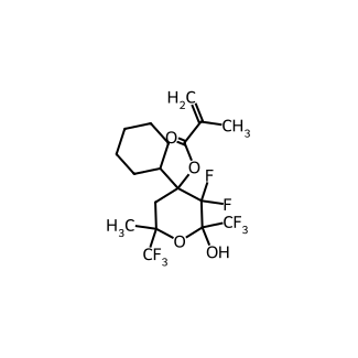 C=C(C)C(=O)OC1(C2CCCCC2)CC(C)(C(F)(F)F)OC(O)(C(F)(F)F)C1(F)F